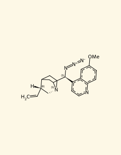 C=C[C@H]1C[N@@]2CCC1CC2[C@@H](N=[N+]=[N-])c1ccnc2ccc(OC)cc12